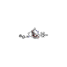 CC[C@H]1OC(=O)C[C@H]2OC/C(=N/OCc3ccc(-n4cccn4)nc3)COCC[C@@H](C[C@@H](C)C(=O)/C=C/C(C)=C/[C@@H]1COC1O[C@H](C)[C@@H](O)[C@@H](OC)[C@H]1OC)[C@H](OC1O[C@H](C)[C@@H](OC(C)=O)[C@H](N(C)C)[C@H]1OC(C)=O)[C@H]2C